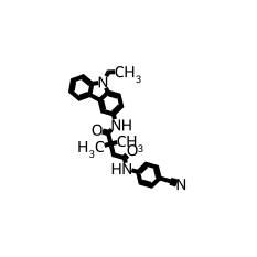 CCn1c2ccccc2c2cc(NC(=O)C(C)(C)CC(=O)Nc3ccc(C#N)cc3)ccc21